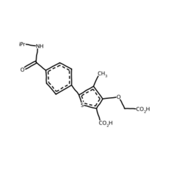 Cc1c(-c2ccc(C(=O)NC(C)C)cc2)sc(C(=O)O)c1OCC(=O)O